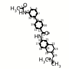 CC(=O)Nc1cccc(-c2ccc(C(=O)Nc3ccc4c(c3)CCC(CN(C)C)C4)cc2)c1